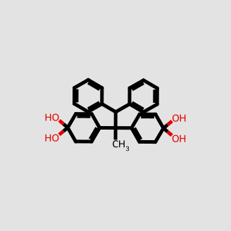 CC(C1=CCC(O)(O)C=C1)(C1=CCC(O)(O)C=C1)C(c1ccccc1)c1ccccc1